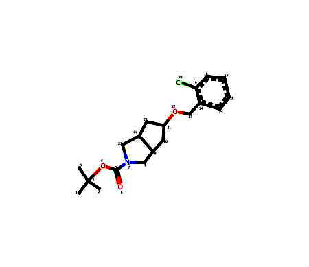 CC(C)(C)OC(=O)N1CC2CC(OCc3ccccc3Cl)CC2C1